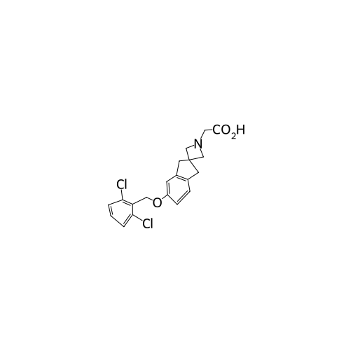 O=C(O)CN1CC2(Cc3ccc(OCc4c(Cl)cccc4Cl)cc3C2)C1